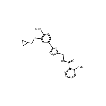 COc1ccc(-c2nc(CNC(=O)c3ncccc3OC)co2)cc1OCC1CC1